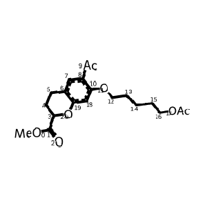 COC(=O)C1CCc2cc(C(C)=O)c(OCCCCCOC(C)=O)cc2O1